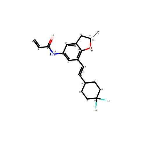 C=CC(=O)Nc1cc(/C=C/C2CCC(F)(F)CC2)c2c(c1)C[C@H](C)O2